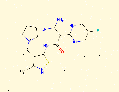 CC1NSC(NC(=O)C(C(N)N)C2NCC(F)CN2)C1CN1CCCC1